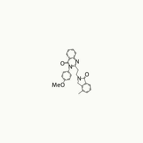 COc1ccc(-n2c(CCN3Cc4c(C)cccc4C3=O)nc3ccccc3c2=O)cc1